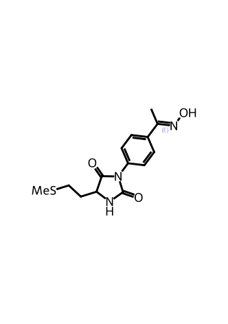 CSCCC1NC(=O)N(c2ccc(/C(C)=N/O)cc2)C1=O